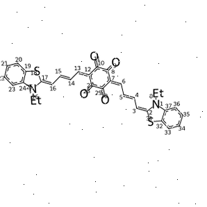 CCN1C(=CC=CC=c2c(=O)c(=O)c(=CC=CC=C3Sc4ccccc4N3CC)c(=O)c2=O)Sc2ccccc21